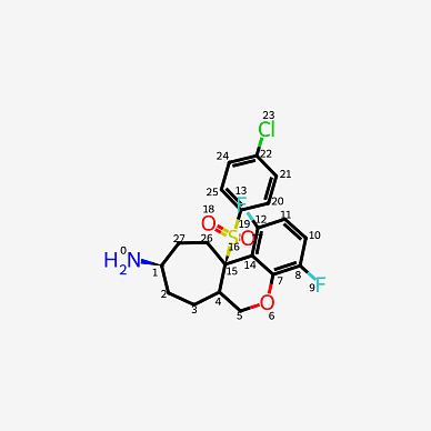 N[C@@H]1CCC2COc3c(F)ccc(F)c3[C@@]2(S(=O)(=O)c2ccc(Cl)cc2)CC1